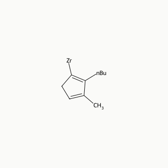 CCCCC1=[C]([Zr])CC=C1C